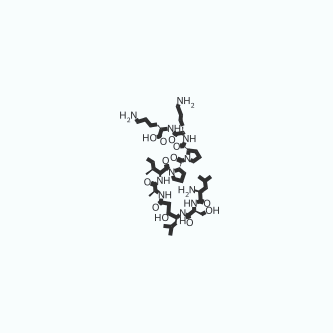 CC[C@H](C)[C@H](NC(=O)[C@H](C)NC(=O)C[C@H](O)[C@H](CC(C)C)NC(=O)[C@H](CO)NC(=O)[C@@H](N)CC(C)C)C(=O)N1CCC[C@H]1C(=O)N1CCC[C@H]1C(=O)N[C@@H](CCCCN)C(=O)N[C@@H](CCCCN)C(=O)O